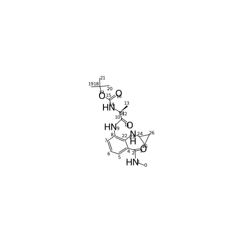 CNC(=O)c1cccc(NC(=O)[C@H](C)NC(=O)OC(C)(C)C)c1NC1CC1